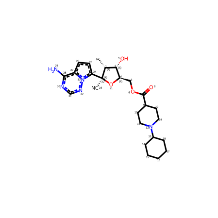 C[C@@H]1[C@H](O)[C@@H](COC(=O)C2CCN(C3CCCCC3)CC2)O[C@@]1(C#N)c1ccc2c(N)ncnn12